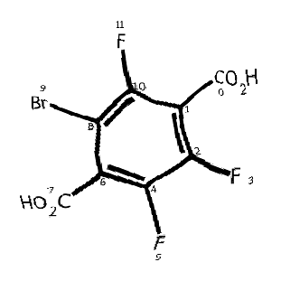 O=C(O)c1c(F)c(F)c(C(=O)O)c(Br)c1F